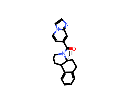 O=C(c1ccn2ccnc2c1)N1CCCC2c3ccccc3CC[C@@H]21